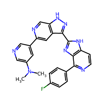 CN(C)c1cncc(-c2cc3c(-c4nc5c(-c6ccc(F)cc6)nccc5[nH]4)n[nH]c3cn2)c1